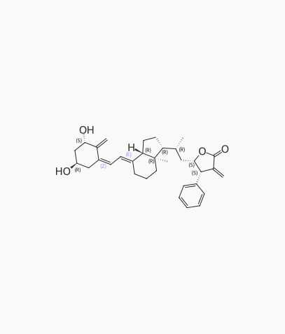 C=C1C(=O)O[C@@H](C[C@@H](C)[C@H]2CC[C@H]3/C(=C/C=C4/C[C@@H](O)C[C@H](O)C4=C)CCC[C@]23C)[C@H]1c1ccccc1